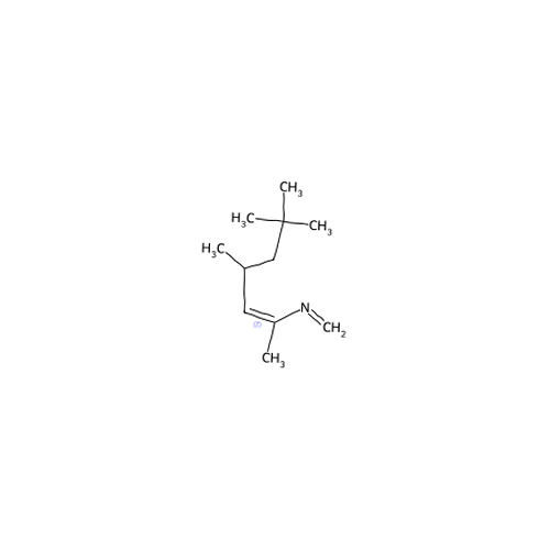 C=N/C(C)=C\C(C)CC(C)(C)C